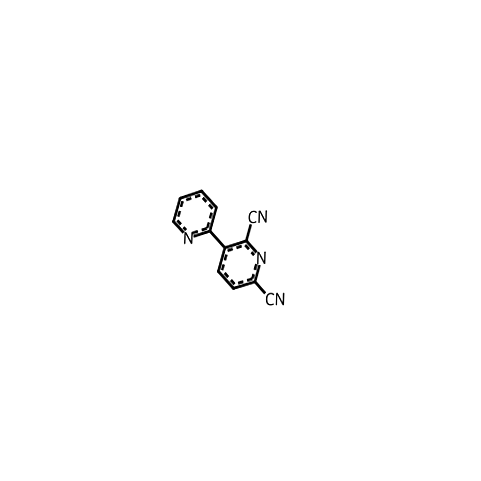 N#Cc1ccc(-c2ccccn2)c(C#N)n1